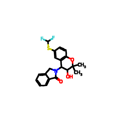 CC1(C)Oc2ccc(SC(F)F)cc2C(N2Cc3ccccc3C2=O)C1O